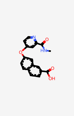 CNC(=O)c1cc(Oc2ccc3ccc(C(=O)O)cc3c2)ccn1